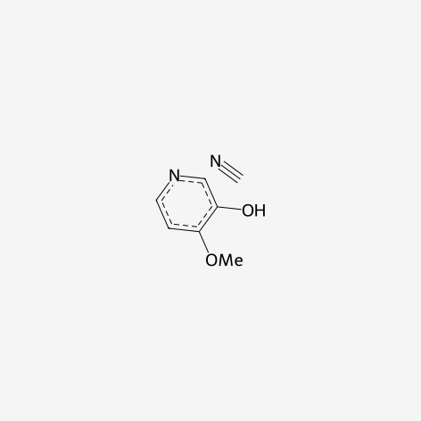 C#N.COc1ccncc1O